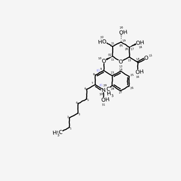 CCCCCCCC(/C=C(/O[C@@H]1OC(C(=O)O)[C@H](O)[C@@H](O)C1O)c1ccccc1C)=N\O